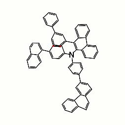 c1ccc(-c2cccc(-c3c(N(c4ccc(-c5ccc6ccc7ccccc7c6c5)cc4)c4ccc(-c5cccc6ccccc56)cc4)c4ccccc4c4ccccc34)c2)cc1